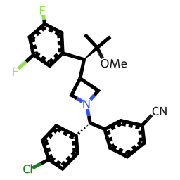 COC(C)(C)[C@H](c1cc(F)cc(F)c1)C1CN([C@@H](c2ccc(Cl)cc2)c2cccc(C#N)c2)C1